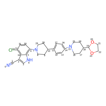 N#Cc1c[nH]c2c(N3CCC(c4ccc(N5CCC(C6OCCO6)CC5)cc4)CC3)ccc(Cl)c12